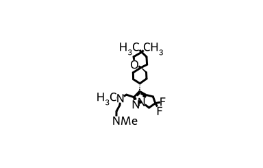 CNCCN(C)Cc1nn2c(c1[C@H]1CC[C@@]3(CCC(C)(C)CO3)CC1)CC(F)(F)C2